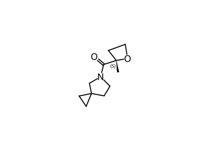 C[C@@]1(C(=O)N2CCC3(CC3)C2)CCO1